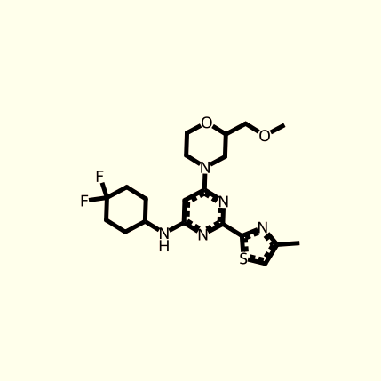 COCC1CN(c2cc(NC3CCC(F)(F)CC3)nc(-c3nc(C)cs3)n2)CCO1